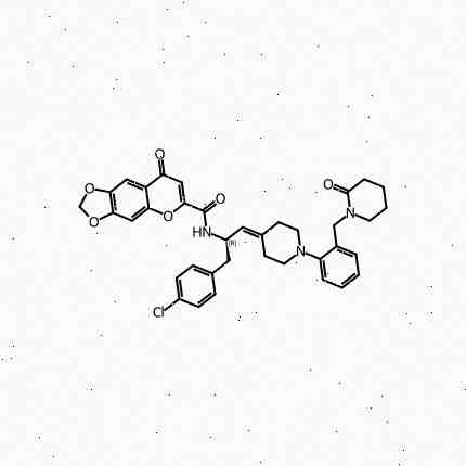 O=C(N[C@@H](C=C1CCN(c2ccccc2CN2CCCCC2=O)CC1)Cc1ccc(Cl)cc1)c1cc(=O)c2cc3c(cc2o1)OCO3